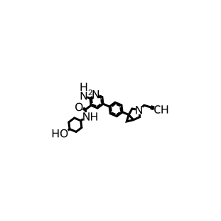 C#CCN1CC2CC2(c2ccc(-c3cnc(N)c(C(=O)NC4CCC(O)CC4)c3)cc2)C1